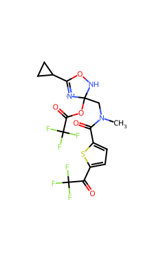 CN(CC1(OC(=O)C(F)(F)F)[N+]=C(C2CC2)ON1)C(=O)c1ccc(C(=O)C(F)(F)F)s1